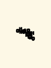 COc1ccc2nc(-c3cc(NC=O)cs3)c(=O)[nH]c2c1